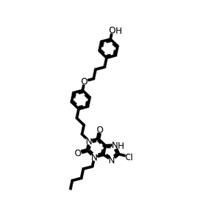 CCCCCn1c(=O)n(CCCc2ccc(OCCCc3ccc(O)cc3)cc2)c(=O)c2[nH]c(Cl)nc21